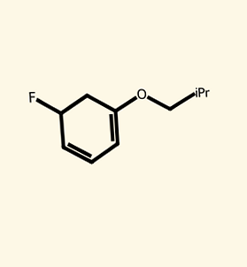 CC(C)COC1=CC=CC(F)C1